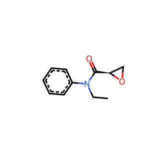 CCN(C(=O)[C@H]1CO1)c1ccccc1